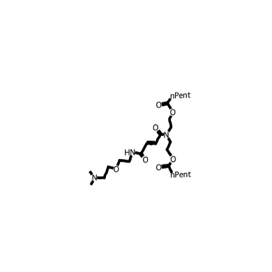 CCCCCC(=O)OCCN(CCOC(=O)CCCCC)C(=O)C=CC(=O)NCCOCCN(C)C